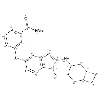 CNC(=O)c1cc(Oc2ccc3c(c2)nc(NC2CCC4CCC4C2)n3C)ccn1